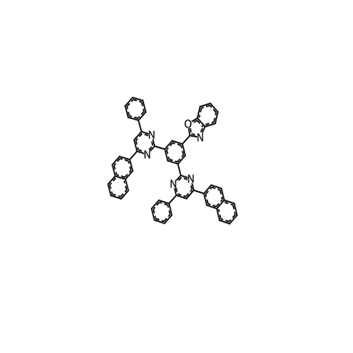 c1ccc(-c2cc(-c3ccc4ccccc4c3)nc(-c3cc(-c4nc(-c5ccccc5)cc(-c5ccc6ccccc6c5)n4)cc(-c4nc5ccccc5o4)c3)n2)cc1